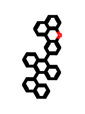 c1ccc2c(-c3c4ccccc4c(-c4ccc5c(c4)-c4cccc6cccc(c46)O5)c4ccccc34)cccc2c1